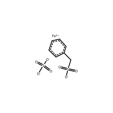 O=S(=O)([O-])Cc1ccccc1.O=S(=O)([O-])[O-].[Fe+3]